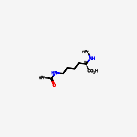 CCCN[C@@H](CCCCNC(=O)CCC)C(=O)O